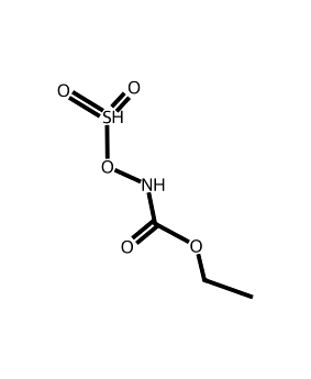 CCOC(=O)NO[SH](=O)=O